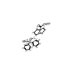 COC(=O)[C@@]12CCCN1[C@H](CO[Si](c1ccccc1)(c1ccccc1)C(C)(C)C)CC2